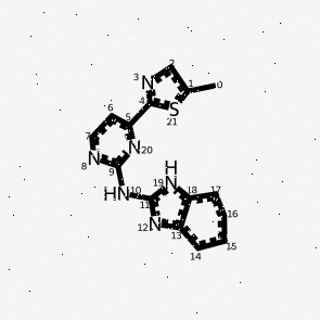 Cc1cnc(-c2ccnc(Nc3nc4ccccc4[nH]3)n2)s1